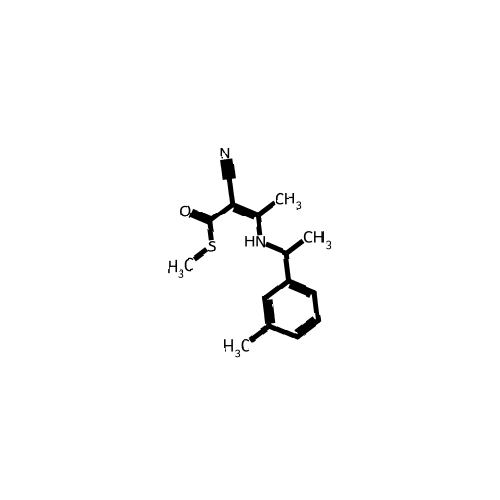 CSC(=O)C(C#N)=C(C)NC(C)c1cccc(C)c1